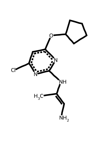 C/C(=C\N)Nc1nc(Cl)cc(OC2CCCC2)n1